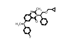 Cc1nc2ccc(N(C)c3ccc(F)cc3)cc2c(=O)n1C(COCC1CC1)c1ccccc1